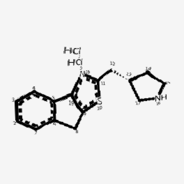 Cl.Cl.c1ccc2c(c1)Cc1sc(C[C@@H]3CCNC3)nc1-2